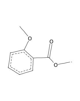 [CH2]OC(=O)c1ccccc1OC